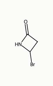 O=C1CC(Br)N1